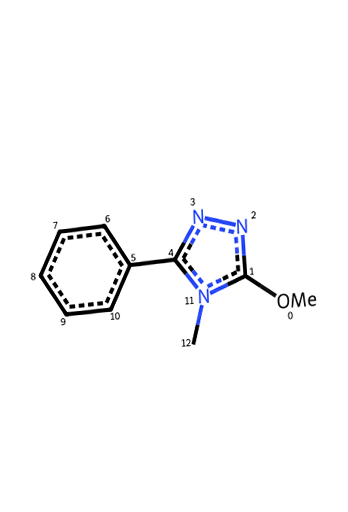 COc1nnc(-c2ccccc2)n1C